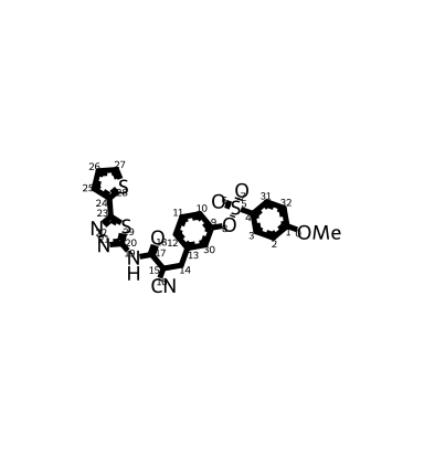 COc1ccc(S(=O)(=O)Oc2cccc(CC(C#N)C(=O)Nc3nnc(-c4cccs4)s3)c2)cc1